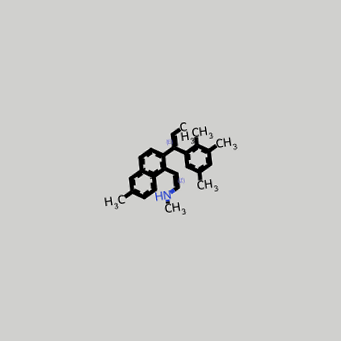 C/C=C(\c1cc(C)cc(C)c1C)c1ccc2cc(C)ccc2c1/C=C\NC